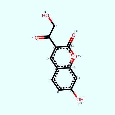 O=C(CO)c1cc2ccc(O)cc2oc1=O